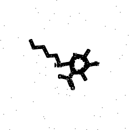 CCCCCNc1nc(C)c(Br)c(C)c1[N+](=O)[O-]